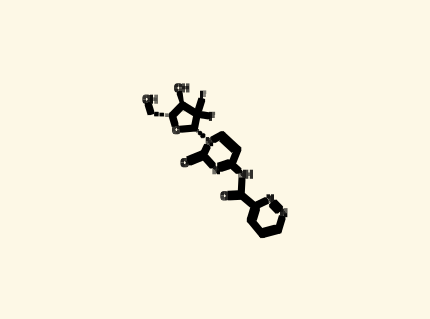 O=C(Nc1ccn([C@@H]2O[C@H](CO)[C@@H](O)C2(F)F)c(=O)n1)c1cccnn1